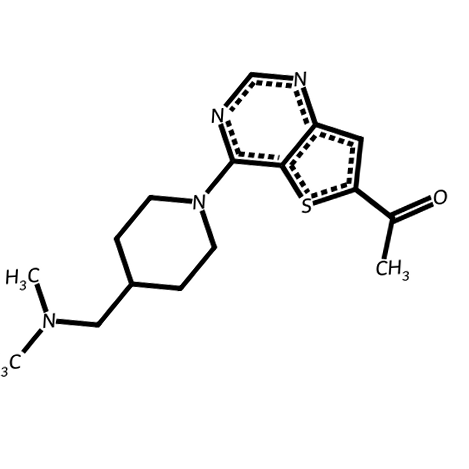 CC(=O)c1cc2ncnc(N3CCC(CN(C)C)CC3)c2s1